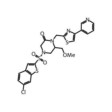 COCC1CN(S(=O)(=O)c2cc3ccc(Cl)cc3s2)CC(=O)N1Cc1nc(-c2cccnc2)cs1